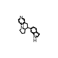 c1cncc(CC(c2ccc3cc[nH]c3c2)C2CCCN2)c1